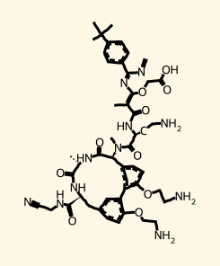 C=N/C(=N\C(OCC(=O)O)=C(/C)C(=O)N[C@@H](CCN)C(=O)N(C)[C@@H]1C(=O)N[C@@H](C)C(=O)N[C@H](C(=O)NCC#N)Cc2ccc(OCCN)c(c2)-c2cc1ccc2OCCN)c1ccc(C(C)(C)C)cc1